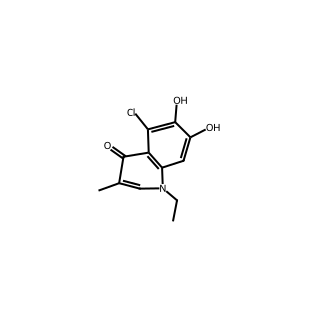 CCn1cc(C)c(=O)c2c(Cl)c(O)c(O)cc21